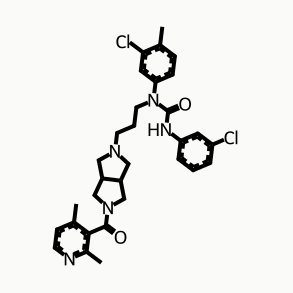 Cc1ccc(N(CCCN2CC3CN(C(=O)c4c(C)ccnc4C)CC3C2)C(=O)Nc2cccc(Cl)c2)cc1Cl